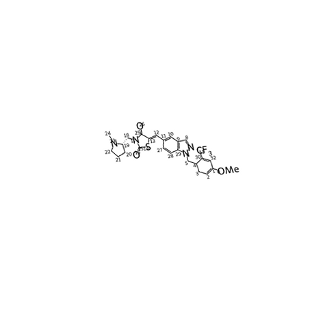 COC1=CCC(Cn2ncc3cc(/C=C4\SC(=O)N(C[C@@H]5CCCN5C)C4=O)ccc32)C(C(F)(F)F)=C1